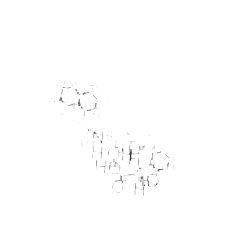 Cc1ccc([C@@H](C)OCC(O)CNC(C)(C)Cc2cccc3ccccc23)c2c1O[C@@H]1[C@@H](C(=O)O)[C@H]21